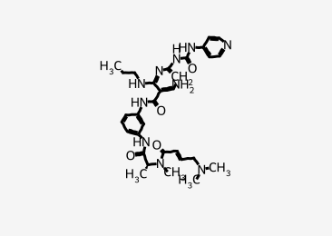 C=C(/N=C(NCCC)\C(=C/N)C(=O)Nc1cccc(NC(=O)[C@H](C)N(C)C(=O)/C=C/CN(C)C)c1)NC(=O)Nc1ccncc1